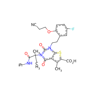 Cc1c(C(=O)O)sc2c1c(=O)n(C(C)(C)C(=O)NC(C)C)c(=O)n2CCc1cc(F)ccc1OCCC#N